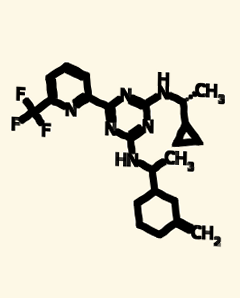 C=C1CCCC(C(C)Nc2nc(N[C@H](C)C3CC3)nc(-c3cccc(C(F)(F)F)n3)n2)C1